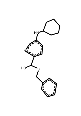 OC(OCc1ccccc1)c1ccc(NC2CCCCC2)cn1